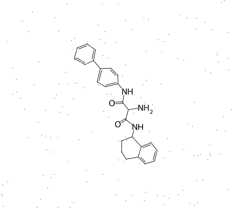 NC(C(=O)Nc1ccc(-c2ccccc2)cc1)C(=O)NC1CCCc2ccccc21